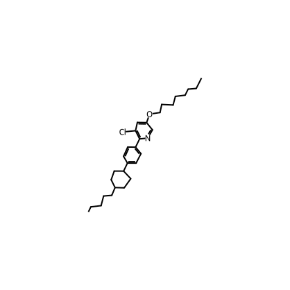 CCCCCCCCOc1cnc(-c2ccc(C3CCC(CCCCC)CC3)cc2)c(Cl)c1